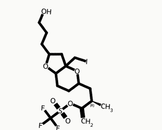 C=C(OS(=O)(=O)C(F)(F)F)[C@H](C)CC1CCC2OC(CCCO)CC2(CI)O1